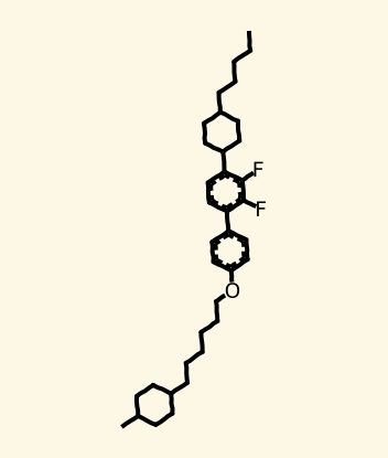 CCCCCC1CCC(c2ccc(-c3ccc(OCCCCCCC4CCC(C)CC4)cc3)c(F)c2F)CC1